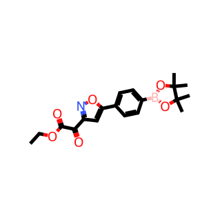 CCOC(=O)C(=O)c1cc(-c2ccc(B3OC(C)(C)C(C)(C)O3)cc2)on1